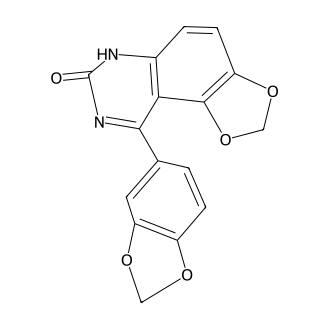 O=c1nc(-c2ccc3c(c2)OCO3)c2c3c(ccc2[nH]1)OCO3